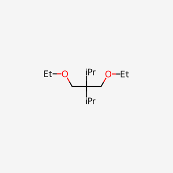 CCOCC(COCC)(C(C)C)C(C)C